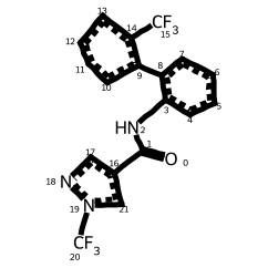 O=C(Nc1ccccc1-c1ccccc1C(F)(F)F)c1cnn(C(F)(F)F)c1